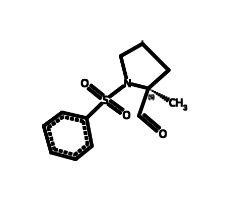 C[C@@]1(C=O)C[CH]CN1S(=O)(=O)c1ccccc1